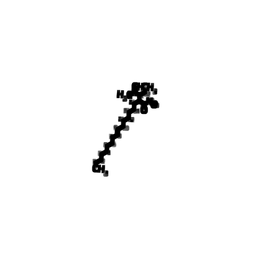 CCCCCCCCC=CCCCCCCC(C(=O)N=O)C(CC)N(C)C